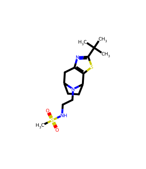 CC(C)(C)c1nc2c(s1)C1CCC(C2)N1CCNS(C)(=O)=O